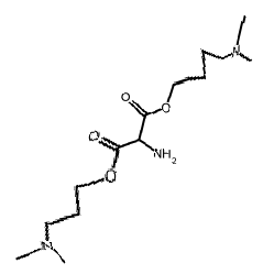 CN(C)CCCOC(=O)C(N)C(=O)OCCCN(C)C